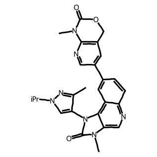 Cc1nn(C(C)C)cc1-n1c(=O)n(C)c2cnc3ccc(-c4cnc5c(c4)COC(=O)N5C)cc3c21